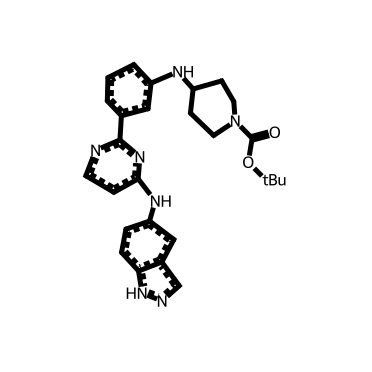 CC(C)(C)OC(=O)N1CCC(Nc2cccc(-c3nccc(Nc4ccc5[nH]ncc5c4)n3)c2)CC1